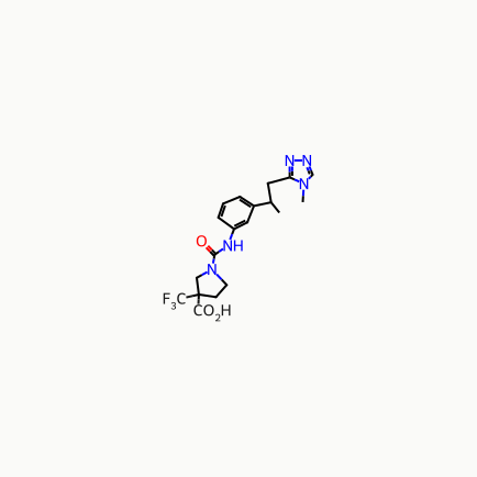 CC(Cc1nncn1C)c1cccc(NC(=O)N2CCC(C(=O)O)(C(F)(F)F)C2)c1